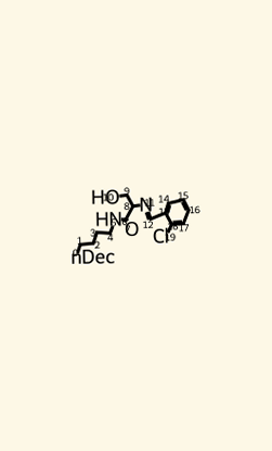 CCCCCCCCCCCCCCNC(=O)C(CO)N=Cc1ccccc1Cl